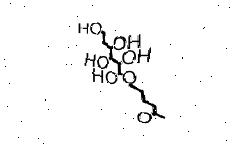 CC(=O)CCCCOC(O)C(O)C(O)C(O)CCO